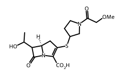 COCC(=O)N1CCC(SC2=C(C(=O)O)N3C(=O)C(C(C)O)[C@H]3C2)C1